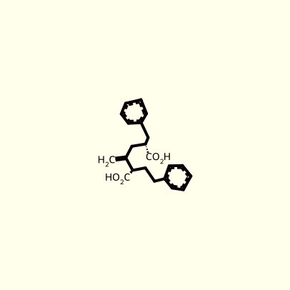 C=C(C[C@H](Cc1ccccc1)C(=O)O)[C@@H](CCc1ccccc1)C(=O)O